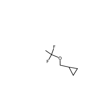 CC(F)(F)OCC1CC1